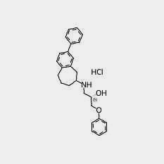 Cl.O[C@@H](CNC1CCCc2ccc(-c3ccccc3)cc2C1)COc1ccccc1